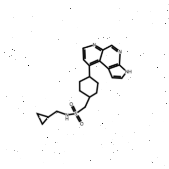 O=S(=O)(CC1CCC(c2ccnc3cnc4[nH]ccc4c23)CC1)NCC1CC1